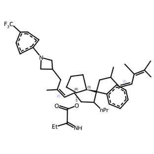 CCCC(CC/C=C(/C)CC1CN(c2ccc(C(F)(F)F)cc2)C1)C(CC(C)/C=C\C(C)=C(C)C)(c1ccccc1)[C@@H]1CCC[C@H]1OC(=O)C(=N)CC